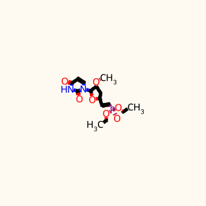 CCOP(=O)(/C=C/C1CC(OC)C(n2ccc(=O)[nH]c2=O)O1)OCC